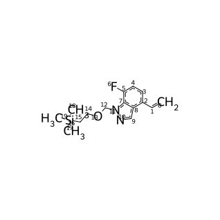 C=Cc1ccc(F)c2c1cnn2COCC[Si](C)(C)C